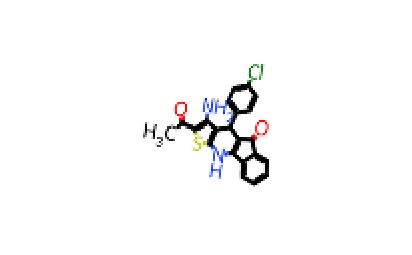 CC(=O)c1sc2c(c1N)C(c1ccc(Cl)cc1)C1=C(N2)c2ccccc2C1=O